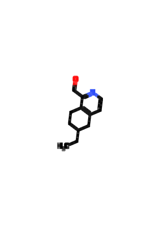 CCC1CCc2c(ccnc2C=O)C1